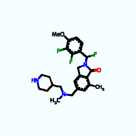 COc1ccc(C(F)N2Cc3cc(CN(C)CC4CCNCC4)cc(C)c3C2=O)c(F)c1F